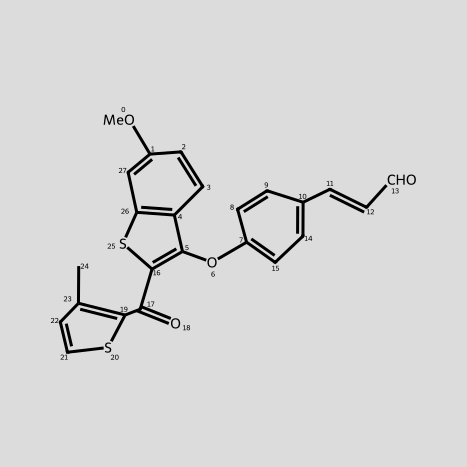 COc1ccc2c(Oc3ccc(/C=C/C=O)cc3)c(C(=O)c3sccc3C)sc2c1